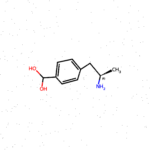 C[C@@H](N)Cc1ccc(C(O)O)cc1